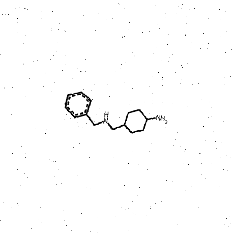 NC1CCC(CNCc2ccccc2)CC1